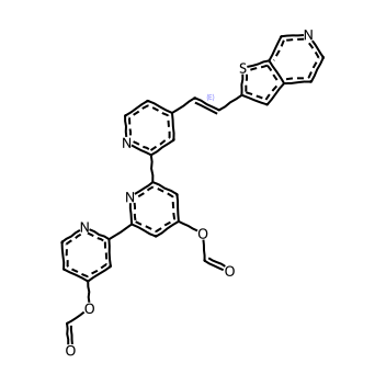 O=COc1ccnc(-c2cc(OC=O)cc(-c3cc(/C=C/c4cc5ccncc5s4)ccn3)n2)c1